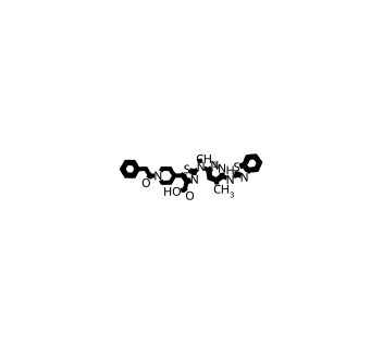 Cc1cc(N(C)c2nc(C(=O)O)c(C3CCN(C(=O)Cc4ccccc4)CC3)s2)nnc1Nc1nc2ccccc2s1